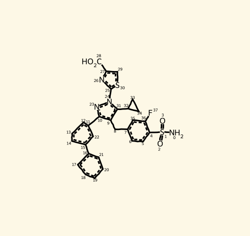 NS(=O)(=O)c1ccc(Cc2c(-c3cccc(-c4ccccc4)c3)nn(-c3nc(C(=O)O)cs3)c2C2CC2)cc1F